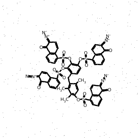 Cc1cc(OS(=O)(=O)c2cccc3c2C=CC(=[N+]=[N-])C3=O)c(C)c(C)c1Cc1ccc(OS(=O)(=O)c2cccc3c2C=CC(=[N+]=[N-])C3=O)c(OS(=O)(=O)c2cccc3c2C=CC(=[N+]=[N-])C3=O)c1OS(=O)(=O)c1cccc2c1C=CC(=[N+]=[N-])C2=O